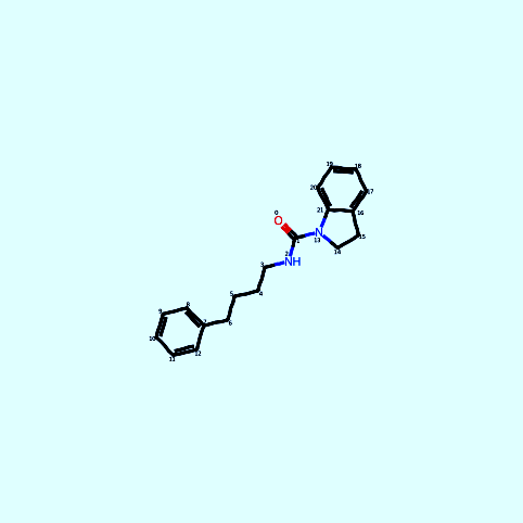 O=C(NCCCCc1ccccc1)N1CCc2ccccc21